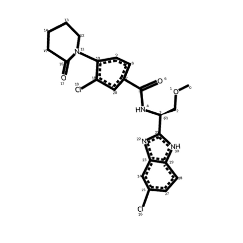 COC[C@H](NC(=O)c1ccc(N2CCCCC2=O)c(Cl)c1)c1nc2cc(Cl)ccc2[nH]1